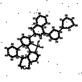 CC1(C)c2ccc3cccc4c3c2-c2c(ccc(-c3nc(-c5cccc(-c6ccccc6)c5)c5ccccc5n3)c21)-c1ccccc1-4